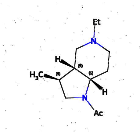 CCN1CC[C@H]2[C@@H](C1)[C@H](C)CN2C(C)=O